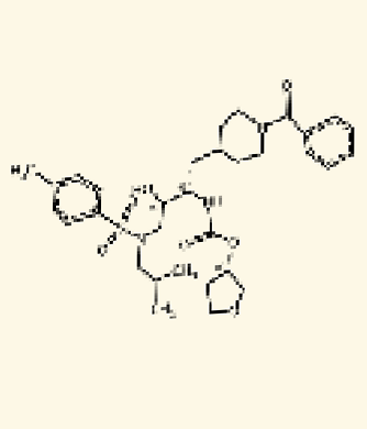 Cc1ccc(S(=O)(=O)N(CC(C)C)C[C@@H](O)[C@H](CC2CCN(C(=O)c3ccccc3)CC2)NC(=O)O[C@H]2CCOC2)cc1